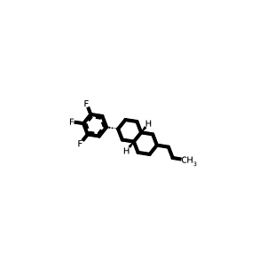 CCCC1CC[C@@H]2C[C@H](c3cc(F)c(F)c(F)c3)CC[C@@H]2C1